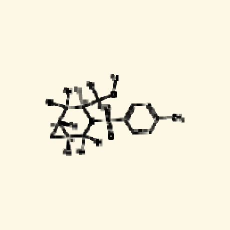 [2H]OC([2H])([2H])[C@@]1([2H])N(S(=O)(=O)c2ccc(C)cc2)C([2H])([2H])[C@]2([2H])C[C@]2([2H])C1([2H])[2H]